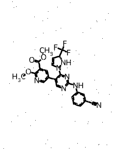 COC(=O)c1cc(-c2cnc(Nc3cccc(C#N)c3)nc2N2C=CC(C(F)(F)F)N2)cnc1OC